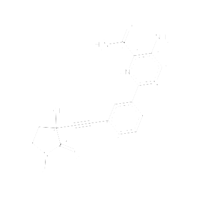 CN1CCC(O)(C#Cc2cccc(-c3ncc(N)c(C(N)=O)n3)c2)C1=O